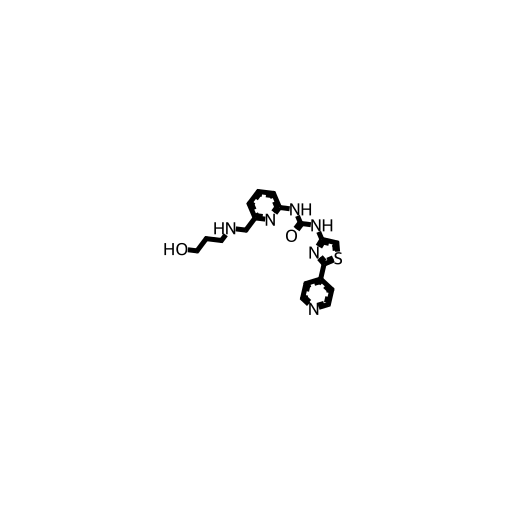 O=C(Nc1cccc(CNCCCO)n1)Nc1csc(-c2ccncc2)n1